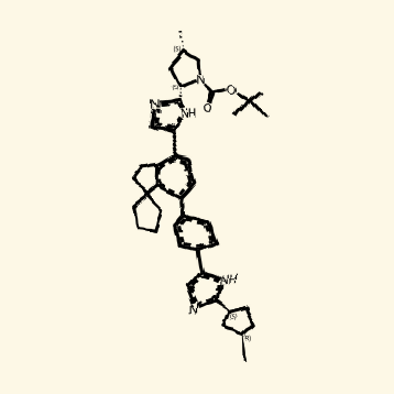 C[C@@H]1CC[C@H](c2ncc(-c3ccc(-c4ccc(-c5cnc([C@@H]6C[C@H](C)CN6C(=O)OC(C)(C)C)[nH]5)c5c4C4(CCCC4)CC5)cc3)[nH]2)C1